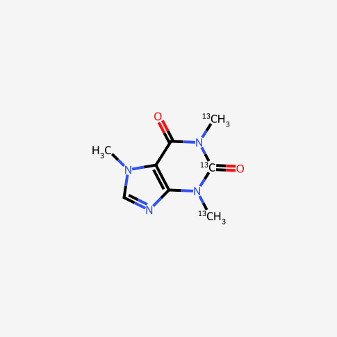 Cn1cnc2c1c(=O)n([13CH3])[13c](=O)n2[13CH3]